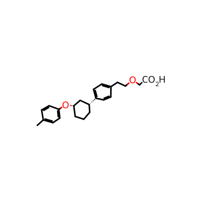 Cc1ccc(O[C@H]2CCC[C@@H](c3ccc(CCOCC(=O)O)cc3)C2)cc1